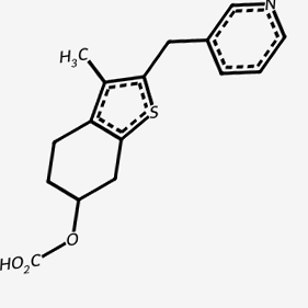 Cc1c(Cc2cccnc2)sc2c1CCC(OC(=O)O)C2